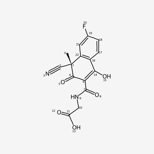 C[C@]1(C#N)C(=O)C(C(=O)NCC(=O)O)=C(O)c2ccc(F)cc21